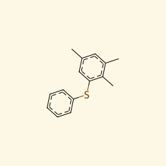 Cc1cc(C)c(C)c(Sc2ccccc2)c1